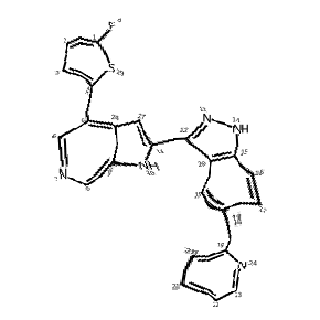 Fc1ccc(-c2cncc3[nH]c(-c4n[nH]c5ccc(-c6ccccn6)cc45)cc23)s1